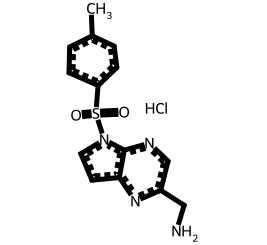 Cc1ccc(S(=O)(=O)n2ccc3nc(CN)cnc32)cc1.Cl